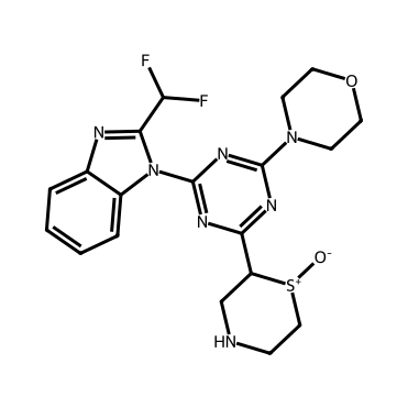 [O-][S+]1CCNCC1c1nc(N2CCOCC2)nc(-n2c(C(F)F)nc3ccccc32)n1